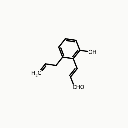 C=CCc1cccc(O)c1C=CC=O